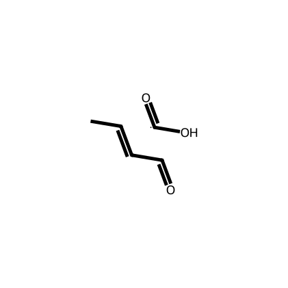 CC=CC=O.O=[C]O